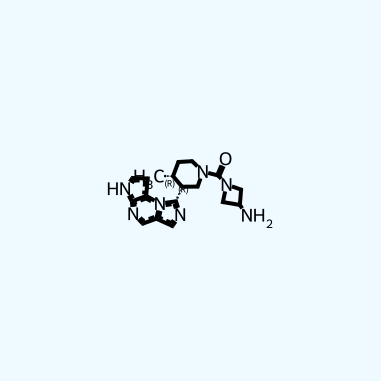 C[C@@H]1CCN(C(=O)N2CC(N)C2)C[C@@H]1c1ncc2cnc3[nH]ccc3n12